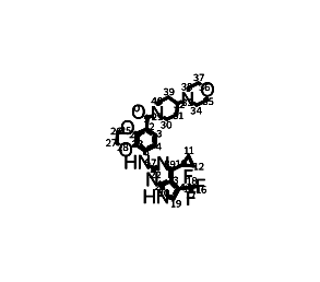 O=C(c1ccc(Nc2nc(C3CC3)c3c(C(F)(F)F)c[nH]c3n2)c2c1OCCO2)N1CCC(N2CCOCC2)CC1